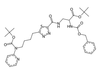 CC(C)(C)OC(=O)C(CNC(=O)c1nnc(CCCCN(C(=O)OC(C)(C)C)c2ccccn2)s1)NC(=O)OCc1ccccc1